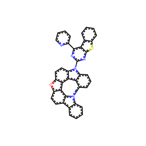 c1ccc(-c2nc(-n3c4ccc5oc6ccc7c8ccccc8n8c9cccc3c9c4c5c6c78)nc3sc4ccccc4c23)nc1